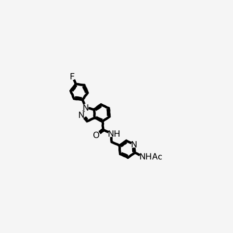 CC(=O)Nc1ccc(CNC(=O)c2cccc3c2cnn3-c2ccc(F)cc2)cn1